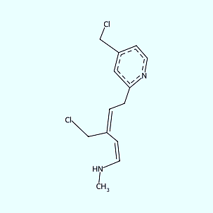 CN/C=C\C(=C/Cc1cc(CCl)ccn1)CCl